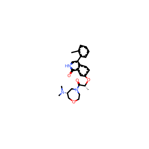 Cc1ccccc1-c1c[nH]c(=O)c2cc(O[C@H](C)C(=O)N3CCOC[C@H](N(C)C)C3)ccc12